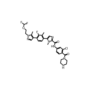 Cc1c(-c2cnc(C(=O)Nc3ccc(C(=O)N4CCNCC4)c(Cl)c3)n2C)ccc(-c2cnn(CCOC(F)F)c2C)c1F